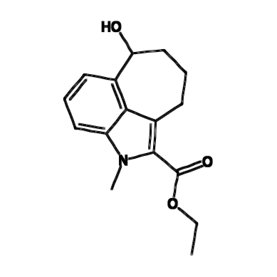 CCOC(=O)c1c2c3c(cccc3n1C)C(O)CCC2